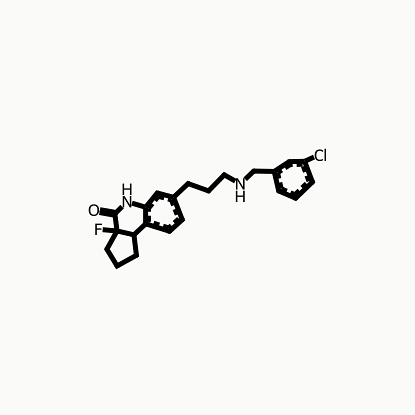 O=C1Nc2cc(CCCNCc3cccc(Cl)c3)ccc2C2CCCC12F